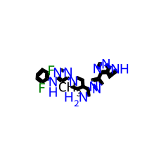 Cc1c(Nc2c(F)cccc2F)ncnc1N1CCC(C(CN)n2cc(-c3ncnc4[nH]ccc34)cn2)CC1